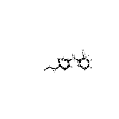 CCOc1ccc(Nc2ncccc2N)cc1